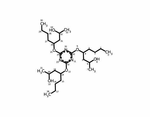 CCCCC(CC(C)O)Oc1nc(OC(CCCC)CC(C)O)nc(OC(CCCC)CC(C)O)n1